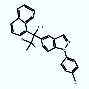 OC(c1ccc2c(cnn2-c2ccc(Cl)cc2)c1)(c1cccc2ccccc12)C(F)(F)F